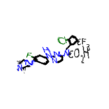 C[C@@H]1CN(c2ccc(Nc3nccc(N(Cc4cc(C(F)(F)F)ccc4Cl)C(=O)O)n3)cc2F)C[C@H](C)N1C